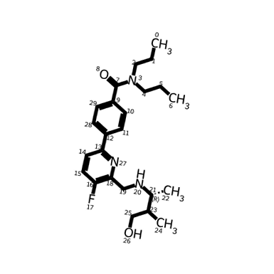 CCCN(CCC)C(=O)c1ccc(-c2ccc(F)c(CN[C@H](C)C(C)CO)n2)cc1